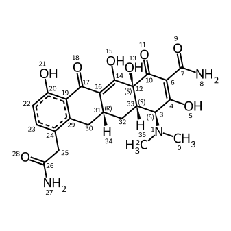 CN(C)[C@@H]1C(O)=C(C(N)=O)C(=O)[C@@]2(O)C(O)=C3C(=O)c4c(O)ccc(CC(N)=O)c4C[C@H]3C[C@@H]12